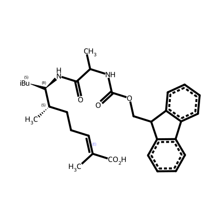 CC[C@H](C)[C@@H](NC(=O)C(C)NC(=O)OCC1c2ccccc2-c2ccccc21)[C@@H](C)CC/C=C(\C)C(=O)O